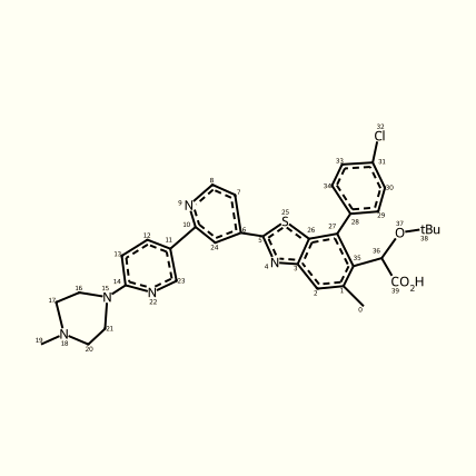 Cc1cc2nc(-c3ccnc(-c4ccc(N5CCN(C)CC5)nc4)c3)sc2c(-c2ccc(Cl)cc2)c1C(OC(C)(C)C)C(=O)O